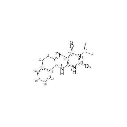 CC(C)n1c(=O)[nH]c(N[C@H]2CCCc3ccccc32)c(F)c1=O